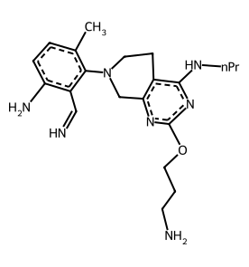 CCCNc1nc(OCCCN)nc2c1CCN(c1c(C)ccc(N)c1C=N)C2